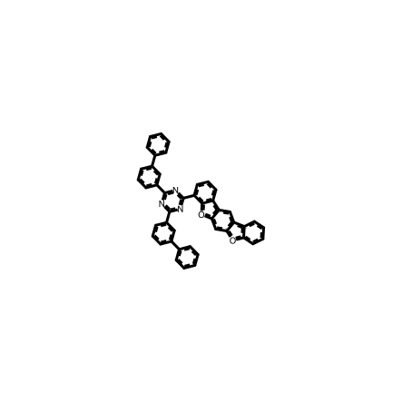 c1ccc(-c2cccc(-c3nc(-c4cccc(-c5ccccc5)c4)nc(-c4cccc5c4oc4cc6oc7ccccc7c6cc45)n3)c2)cc1